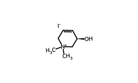 C[N+]1(C)CC=C[C@@H](O)C1.[I-]